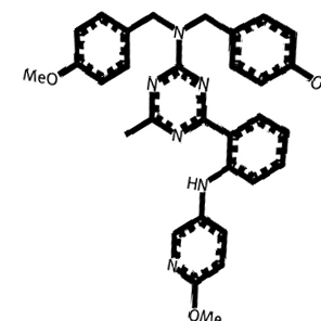 COc1ccc(CN(Cc2ccc(OC)cc2)c2nc(C)nc(-c3ccccc3Nc3ccc(OC)nc3)n2)cc1